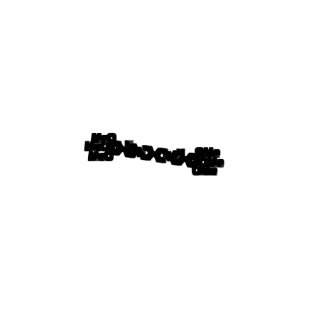 COc1cc(-c2ccc(N3CCC(C4CCN(c5ccc(-c6cc(OC)c(OC)c(OC)c6)nc5)CC4)CC3)cn2)cc(OC)c1OC